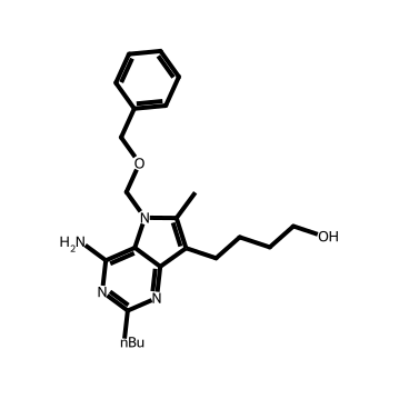 CCCCc1nc(N)c2c(n1)c(CCCCO)c(C)n2COCc1ccccc1